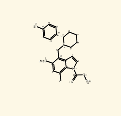 COc1cc(C)c2c(ccn2C(=O)OC(C)(C)C)c1CN1CCCC[C@H]1c1ccc(Br)cc1